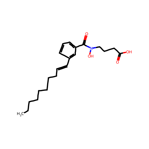 CCCCCCCCC=Cc1cccc(C(=O)N(O)CCCC(=O)O)c1